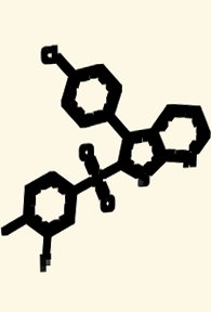 Cc1ccc(S(=O)(=O)c2sc3ncccc3c2-c2ccc(Cl)cc2)cc1F